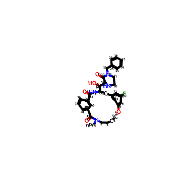 CCCN1CCCCOc2cc(F)cc(c2)CC(C(O)C2NCCN(Cc3ccccc3)C2=O)NC(=O)c2cccc(c2)C1=O